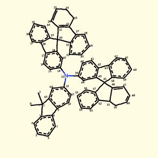 CC1(C)c2ccccc2-c2ccc(N(c3ccc4c(c3)C3(C5=C(CCC=C5)c5ccccc53)c3ccccc3-4)c3ccc4c(c3)C3(C5=CC=CCC5c5ccccc53)c3ccccc3-4)cc21